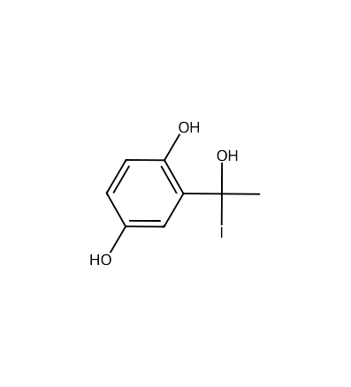 CC(O)(I)c1cc(O)ccc1O